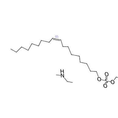 CCCCCCCC/C=C\CCCCCCCCOS(=O)(=O)OCC.CCNC